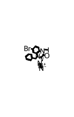 [N-]=[N+]=NC[C@@H]1C(=O)N(CI)c2ccc(Br)cc2N1Cc1ccccc1